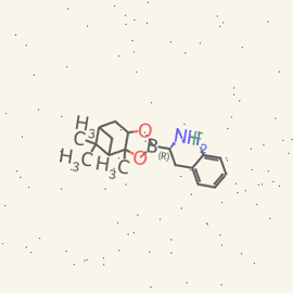 CC1(C)C2CC3OB([C@@H](N)Cc4ccccc4F)OC3(C)C1C2